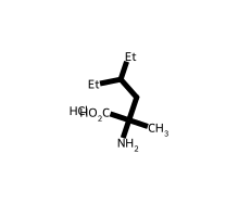 CCC(CC)CC(C)(N)C(=O)O.Cl